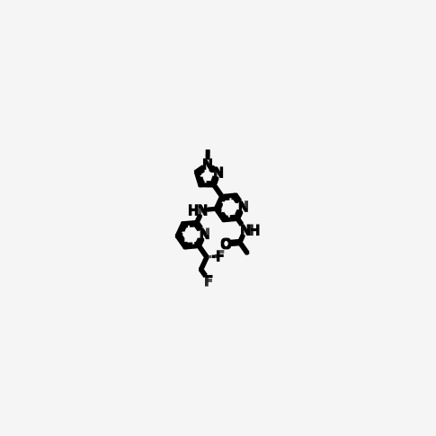 CC(=O)Nc1cc(Nc2cccc([C@H](F)CF)n2)c(-c2ccn(C)n2)cn1